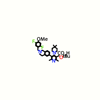 COc1cc(F)c(CN2CCc3cc(-c4c(C)nc(C)c([C@H](OC(C)(C)C)C(=O)O)c4N4CCC(C)(C)CC4)ccc3C2)cc1F